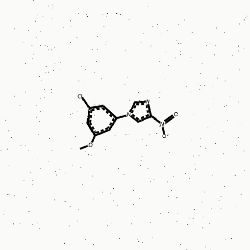 COc1cc(Cl)cc(-n2cnc([N+](=O)[O-])c2)c1